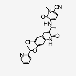 CC(Oc1cc2[nH]c(=O)c([C@H](C)Nc3ccc(C#N)n(C)c3=O)cc2cc1Cl)c1ccccn1